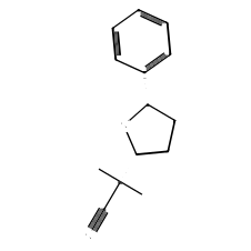 CC(C)(C#N)[C@H]1CC[C@@H](c2ccccc2)N1